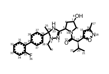 CCN1N=C(C2C[C@@H](O)CN2C(=O)[C@@H](c2cc(C)no2)C(C)C)NC1(C)c1ccc(-c2ccccc2F)cc1